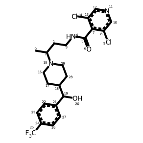 CC(CCNC(=O)c1c(Cl)cncc1Cl)N1CCC(C(O)c2ccc(C(F)(F)F)cc2)CC1